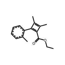 CCOC(=O)C1=C(c2ccccc2C)C(C)=C1C